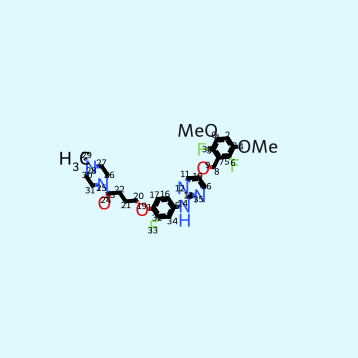 COc1cc(OC)c(F)c(COc2cnc(Nc3ccc(OCCCC(=O)N4CCN(C)CC4)c(F)c3)nc2)c1F